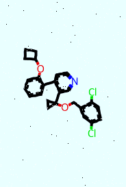 Clc1ccc(Cl)c(COC2(c3cnccc3-c3ccccc3OC3CCC3)CC2)c1